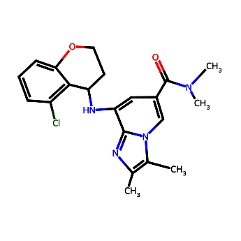 Cc1nc2c(NC3CCOc4cccc(Cl)c43)cc(C(=O)N(C)C)cn2c1C